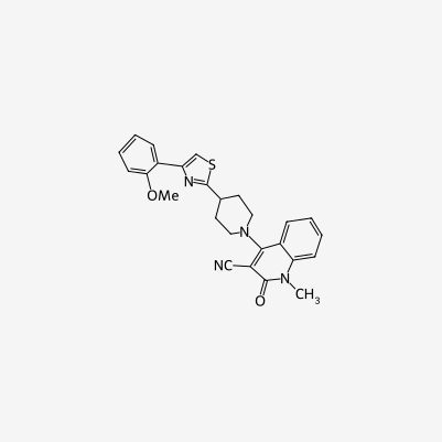 COc1ccccc1-c1csc(C2CCN(c3c(C#N)c(=O)n(C)c4ccccc34)CC2)n1